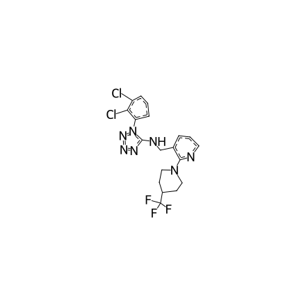 FC(F)(F)C1CCN(c2ncccc2CNc2nnnn2-c2cccc(Cl)c2Cl)CC1